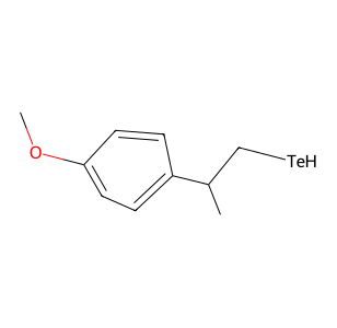 COc1ccc(C(C)C[TeH])cc1